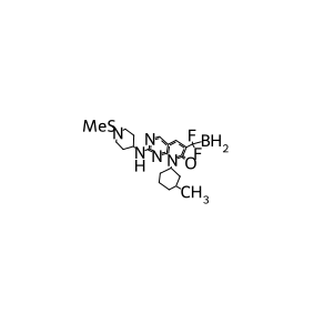 BC(F)(F)c1cc2cnc(NC3CCN(SC)CC3)nc2n(C2CCCC(C)C2)c1=O